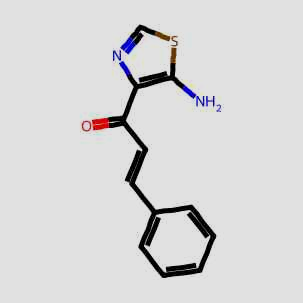 Nc1scnc1C(=O)C=Cc1ccccc1